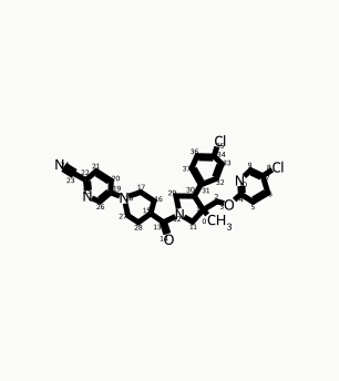 CC1(COc2ccc(Cl)cn2)CN(C(=O)C2CCN(c3ccc(C#N)nc3)CC2)CC1c1ccc(Cl)cc1